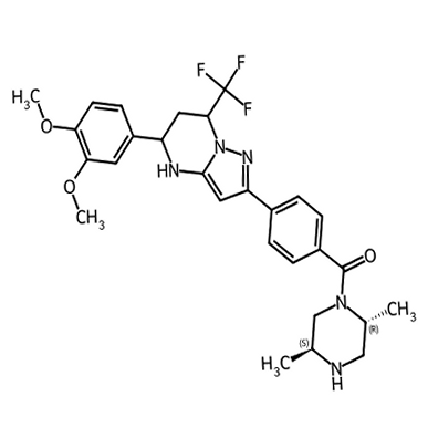 COc1ccc(C2CC(C(F)(F)F)n3nc(-c4ccc(C(=O)N5C[C@H](C)NC[C@H]5C)cc4)cc3N2)cc1OC